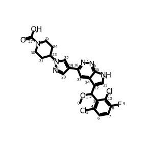 COC(c1c(Cl)ccc(F)c1Cl)c1c[nH]c2nnc(-c3cnn(C4CCN(C(=O)O)CC4)c3)cc12